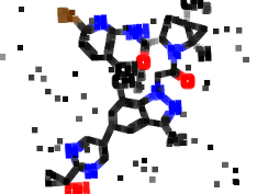 CC(=O)c1nn(CC(=O)N2[C@H](C(=O)Nc3nc(Br)ccc3C)C[C@@]3(C)C[C@@H]23)c2c(C)cc(-c3cnc(C4(O)CC4)nc3)cc12